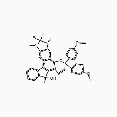 COc1ccc(C2(c3ccc(OC)cc3)C=Cc3c4c(c5cc6c(cc5c3O2)N(C)C(F)(F)N6C)-c2ccccc2C4(C)O)cc1